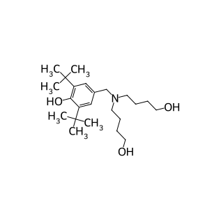 CC(C)(C)c1cc(CN(CCCCO)CCCCO)cc(C(C)(C)C)c1O